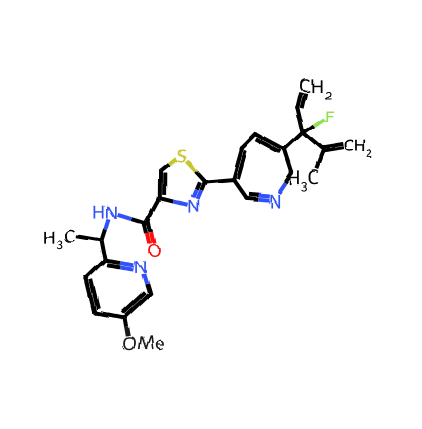 C=CC(F)(C(=C)C)C1=CC=C(c2nc(C(=O)NC(C)c3ccc(OC)cn3)cs2)C=NC1